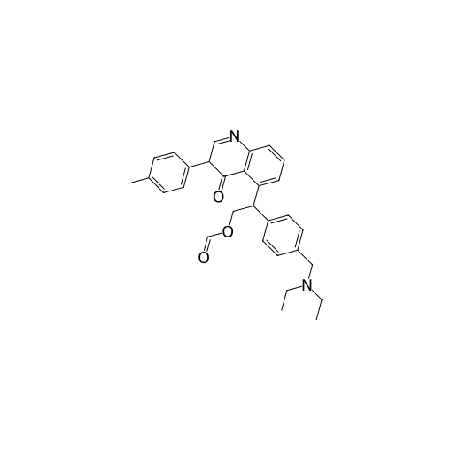 CCN(CC)Cc1ccc(C(COC=O)c2cccc3c2C(=O)C(c2ccc(C)cc2)C=N3)cc1